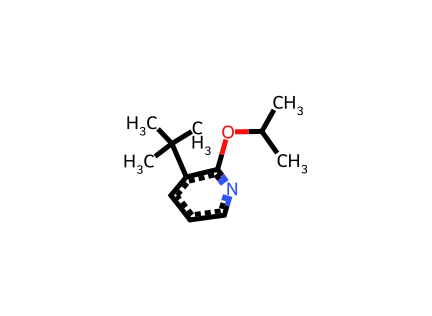 CC(C)Oc1ncccc1C(C)(C)C